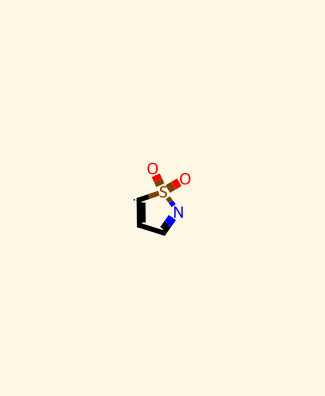 O=S1(=O)[C]=CC=N1